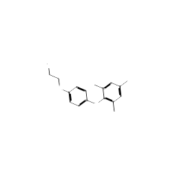 Cc1cc(C)c(Sc2ccc(OCCN)cc2)c(C)c1